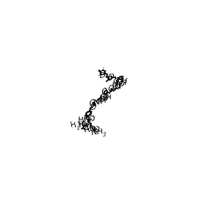 C=C1CC(CC[C@]23CC[C@H](O2)[C@H]2CC(O3)[C@H]3OC(CC(=O)CC4CO[C@H](CC(O)CNC(=O)OCc5ccc(NC(=O)C(CCCNC(N)=O)NC(=O)[C@@H](N)C(C)C)cc5)[C@@H]4OC)CCC3O2)OC1CCC1C[C@@H](C)C(=C)[C@@H](C)O1